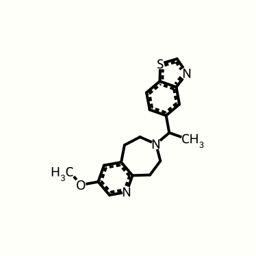 COc1cnc2c(c1)CCN(C(C)c1ccc3scnc3c1)CC2